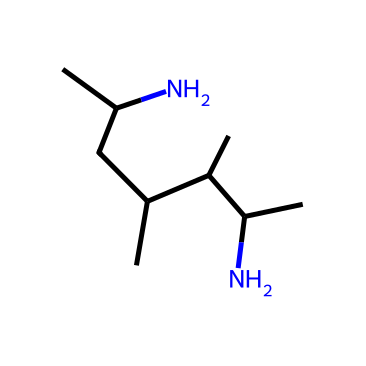 CC(N)CC(C)C(C)C(C)N